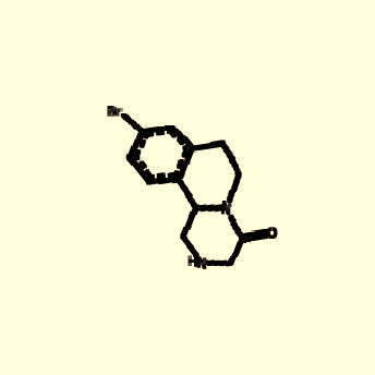 O=C1CNCC2c3ccc(Br)cc3CCN12